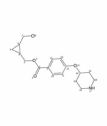 O=C(OCC1CC1CCl)c1ccc(OC2CCNCC2)cc1